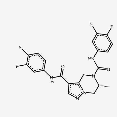 C[C@@H]1Cn2ncc(C(=O)Nc3ccc(F)c(F)c3)c2CN1C(=O)Nc1ccc(F)c(F)c1